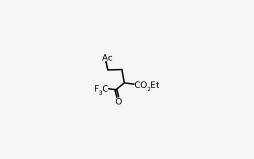 CCOC(=O)C(CCC(C)=O)C(=O)C(F)(F)F